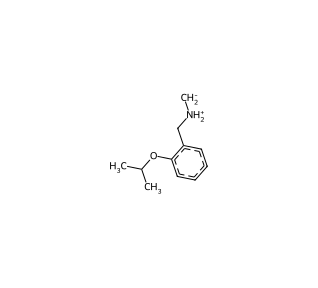 [CH2-][NH2+]Cc1ccccc1OC(C)C